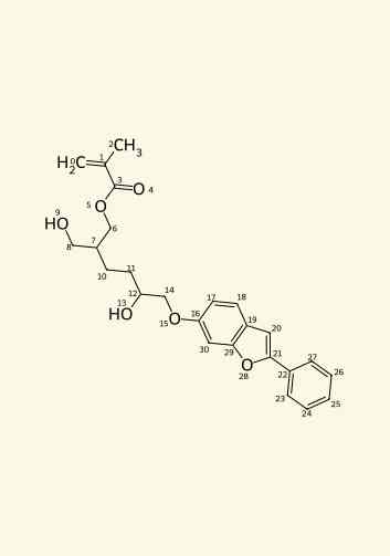 C=C(C)C(=O)OCC(CO)CCC(O)COc1ccc2cc(-c3ccccc3)oc2c1